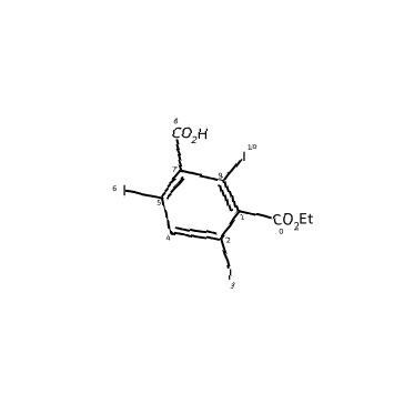 CCOC(=O)c1c(I)cc(I)c(C(=O)O)c1I